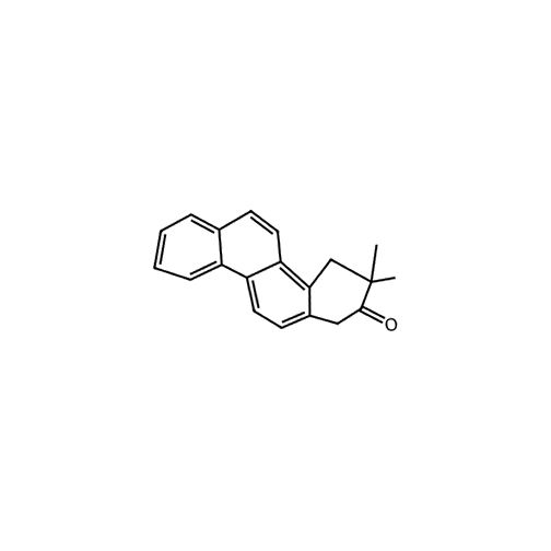 CC1(C)Cc2c(ccc3c2ccc2ccccc23)CC1=O